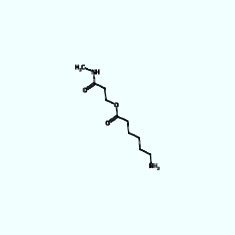 CNC(=O)CCOC(=O)CCCCCN